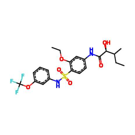 CCOc1cc(NC(=O)[C@@H](O)C(C)CC)ccc1S(=O)(=O)Nc1cccc(OC(F)(F)F)c1